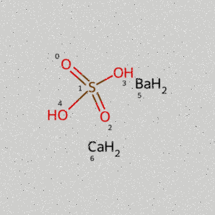 O=S(=O)(O)O.[BaH2].[CaH2]